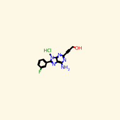 Cl.Cn1c(-c2cccc(F)c2)nc2c(N)nc(C#CCO)nc21